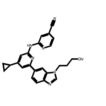 N#Cc1ccnc(Nc2cc(C3CC3)cc(-c3ccc4ncn(CCCO)c4c3)n2)c1